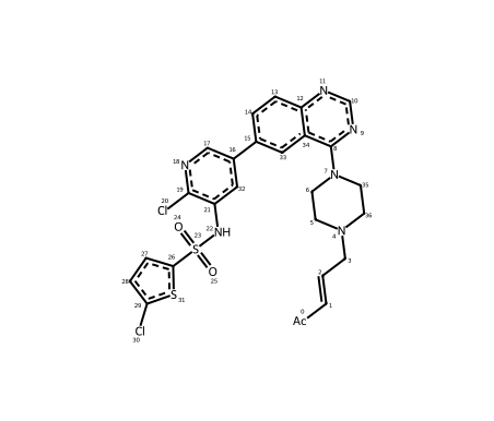 CC(=O)/C=C/CN1CCN(c2ncnc3ccc(-c4cnc(Cl)c(NS(=O)(=O)c5ccc(Cl)s5)c4)cc23)CC1